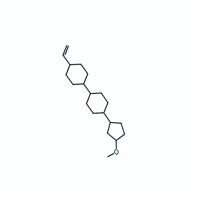 C=CC1CCC(C2CCC(C3CCC(OC)C3)CC2)CC1